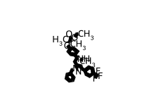 CCOC(=O)C(C)(C)Oc1ccc(C(Cc2cc(-c3ccc(C(F)(F)F)cc3)nn2Cc2ccccc2)NC)cc1